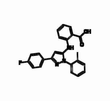 Cc1ccccc1-n1nc(-c2ccc(F)cc2)cc1Nc1ccccc1C(=O)O